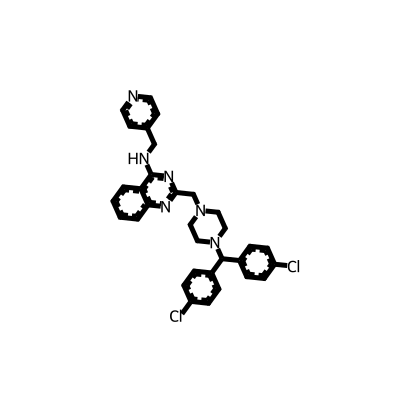 Clc1ccc(C(c2ccc(Cl)cc2)N2CCN(Cc3nc(NCc4ccncc4)c4ccccc4n3)CC2)cc1